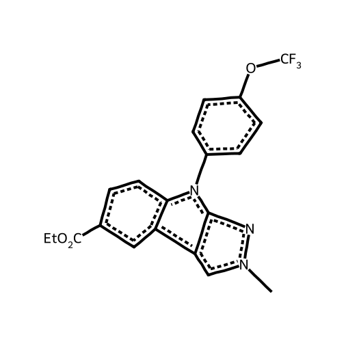 CCOC(=O)c1ccc2c(c1)c1cn(C)nc1n2-c1ccc(OC(F)(F)F)cc1